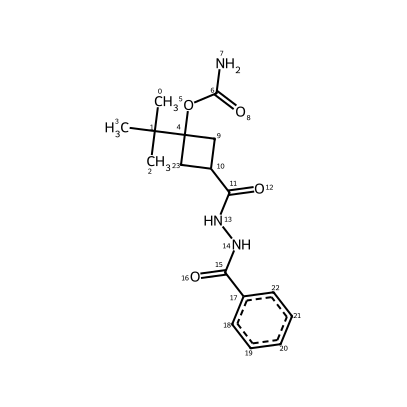 CC(C)(C)C1(OC(N)=O)CC(C(=O)NNC(=O)c2ccccc2)C1